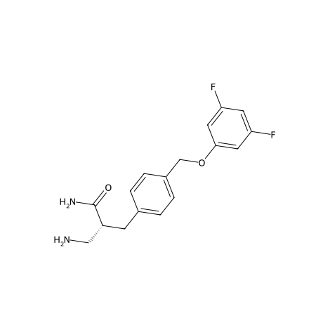 NC[C@@H](Cc1ccc(COc2cc(F)cc(F)c2)cc1)C(N)=O